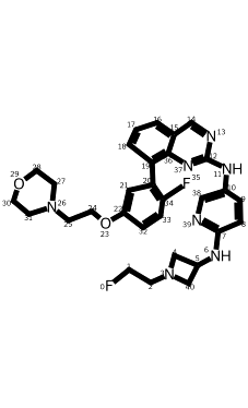 FCCN1CC(Nc2ccc(Nc3ncc4cccc(-c5cc(OCCN6CCOCC6)ccc5F)c4n3)cn2)C1